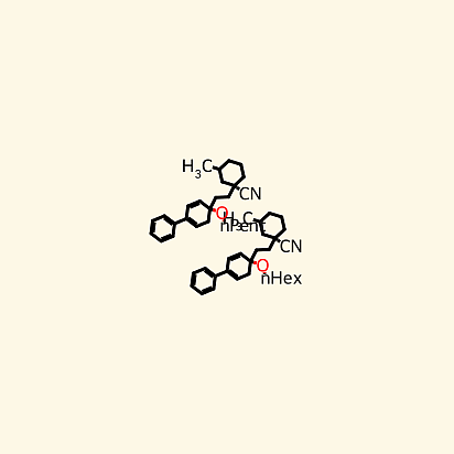 CCCCCCOC1(CCC2(C#N)CCCC(C)C2)C=CC(c2ccccc2)=CC1.CCCCCOC1(CCC2(C#N)CCCC(C)C2)C=CC(c2ccccc2)=CC1